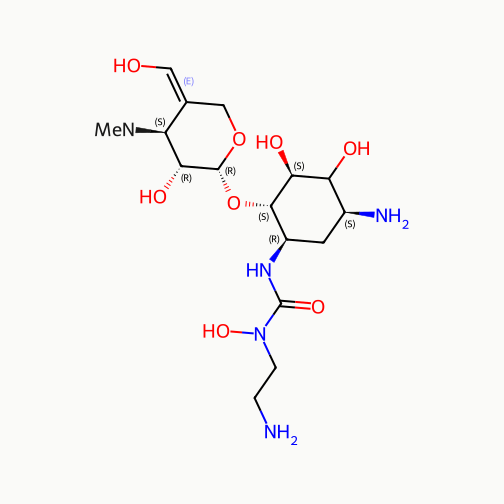 CN[C@H]1/C(=C\O)CO[C@H](O[C@H]2[C@H](NC(=O)N(O)CCN)C[C@H](N)C(O)[C@@H]2O)[C@@H]1O